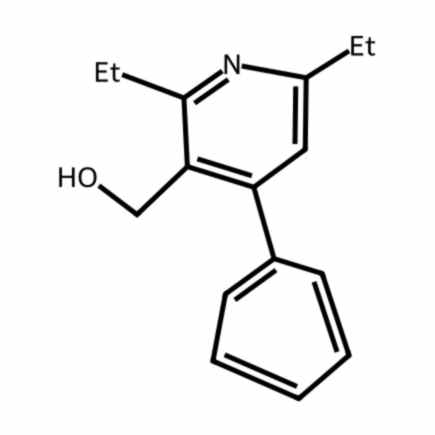 CCc1cc(-c2ccccc2)c(CO)c(CC)n1